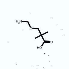 CC(C)(COCN)C(=O)O